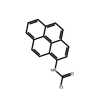 CCC(=O)Nc1ccc2ccc3cccc4ccc1c2c34